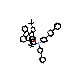 CC(C)(C)c1ccc2c(c1)C1(c3cc(C(C)(C)C)ccc3-2)c2ccccc2-c2cccc(-c3ccc(N(c4ccc(-c5ccccc5)cc4)c4ccc(-c5ccc(-c6ccccc6)cc5)cc4)cc3)c21